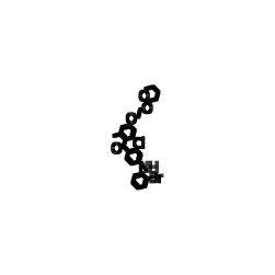 Cc1cc(OCCOC2CCCCO2)ccc1C(=O)c1ccc(Nc2ccccc2Br)cc1Cl